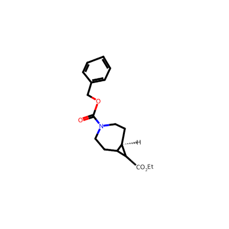 CCOC(=O)C1C2CCN(C(=O)OCc3ccccc3)CC[C@H]21